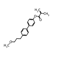 C=C(C)C(=O)Oc1ccc(-c2ccc(CCCOC)cc2)cc1